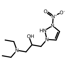 CCN(CC)CC(O)CN1C=CN([N+](=O)[O-])N1